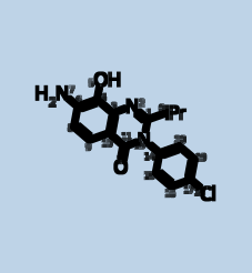 CC(C)c1nc2c(O)c(N)ccc2c(=O)n1-c1ccc(Cl)cc1